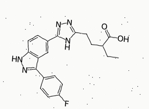 CCC(CCc1nnc(-c2ccc3[nH]nc(-c4ccc(F)cc4)c3c2)[nH]1)C(=O)O